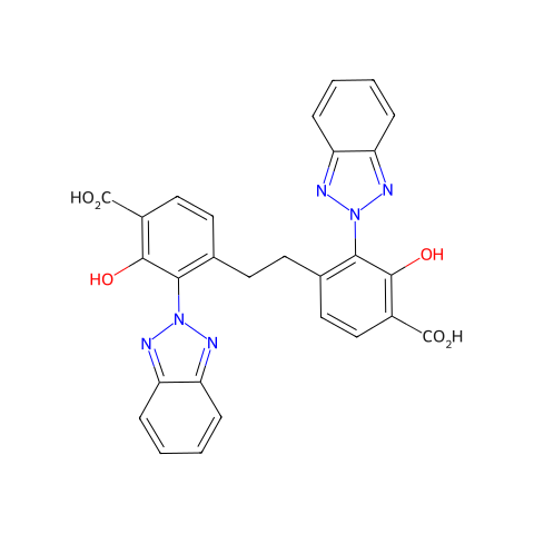 O=C(O)c1ccc(CCc2ccc(C(=O)O)c(O)c2-n2nc3ccccc3n2)c(-n2nc3ccccc3n2)c1O